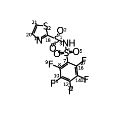 O=S(=O)(NS(=O)(=O)c1c(F)c(F)c(F)c(F)c1F)c1nccs1